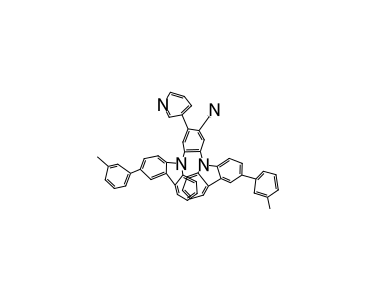 Cc1cccc(-c2ccc3c(c2)c2ccccc2n3-c2cc(C#N)c(-c3cccnc3)cc2-n2c3ccccc3c3cc(-c4cccc(C)c4)ccc32)c1